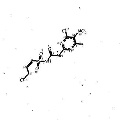 Cc1nc(NC(=O)NS(=O)(=O)/C=C\CCl)nc(Cl)c1[N+](=O)[O-]